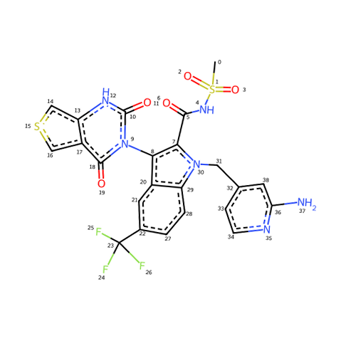 CS(=O)(=O)NC(=O)c1c(-n2c(=O)[nH]c3cscc3c2=O)c2cc(C(F)(F)F)ccc2n1Cc1ccnc(N)c1